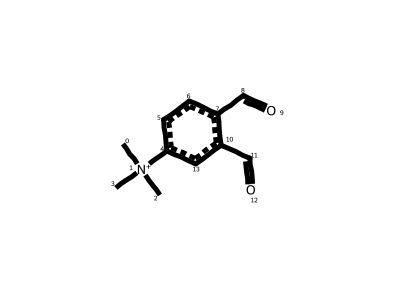 C[N+](C)(C)c1ccc(C=O)c(C=O)c1